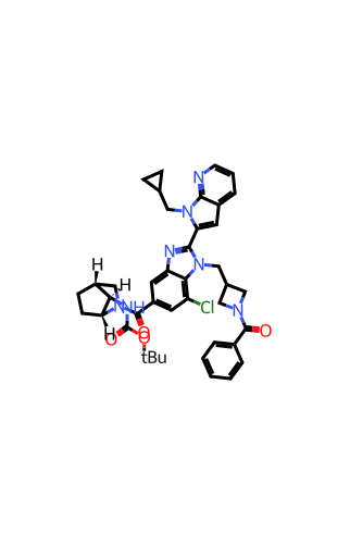 CC(C)(C)OC(=O)N[C@@H]1[C@@H]2CC[C@H]1N(C(=O)c1cc(Cl)c3c(c1)nc(-c1cc4cccnc4n1CC1CC1)n3CC1CN(C(=O)c3ccccc3)C1)C2